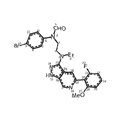 CCN(CCN(C=O)c1ccc(Br)cc1)c1n[nH]c2cnc(-c3c(F)cccc3OC)cc12